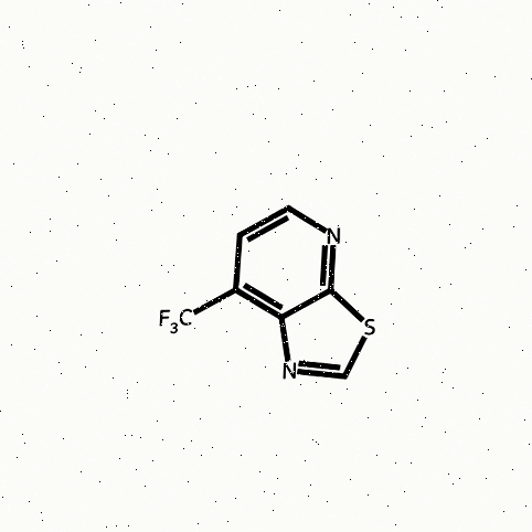 FC(F)(F)c1ccnc2scnc12